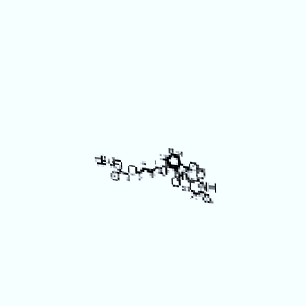 CC(C)(C)OC(=O)COCCCCOc1cccc2c1C(=O)N(C1CCC(=O)NC1=O)C2=O